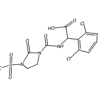 CS(=O)(=O)N1CCN(C(=O)NC(C(=O)O)c2c(Cl)cccc2Cl)C1=O